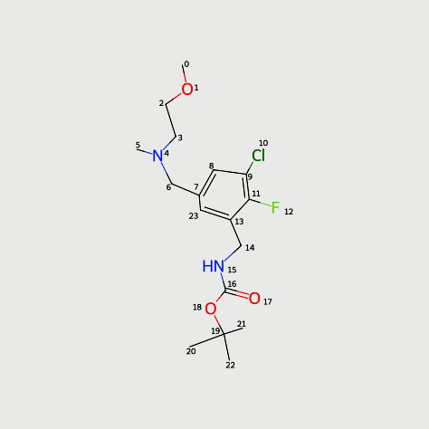 COCCN(C)Cc1cc(Cl)c(F)c(CNC(=O)OC(C)(C)C)c1